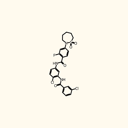 O=C(Nc1cc(NC(=O)c2ccc(N3CCCCCS3(=O)=O)cc2F)ccc1Cl)c1cccc(Cl)c1